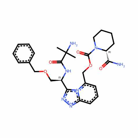 CC(C)(N)C(=O)N[C@H](COCc1ccccc1)c1nnc2cccc(COC(=O)N3CCCC[C@@H]3C(N)=O)n12